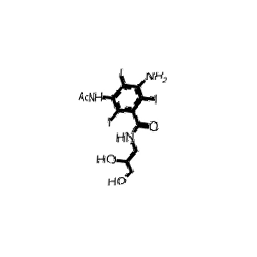 CC(=O)Nc1c(I)c(N)c(I)c(C(=O)NCC(O)CO)c1I